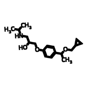 CC(C)NCC(O)COc1ccc(C(C)OCC2CC2)cc1